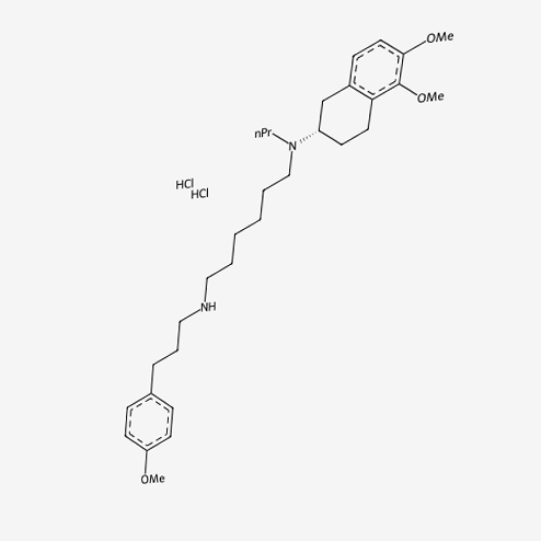 CCCN(CCCCCCNCCCc1ccc(OC)cc1)[C@H]1CCc2c(ccc(OC)c2OC)C1.Cl.Cl